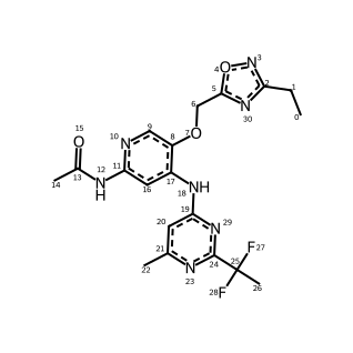 CCc1noc(COc2cnc(NC(C)=O)cc2Nc2cc(C)nc(C(C)(F)F)n2)n1